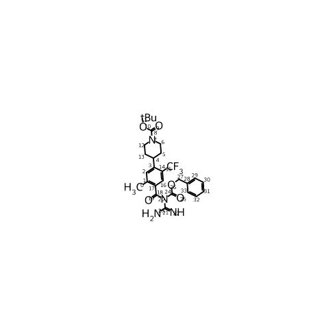 Cc1cc(C2CCN(C(=O)OC(C)(C)C)CC2)c(C(F)(F)F)cc1C(=O)N(C(=N)N)C(=O)OCc1ccccc1